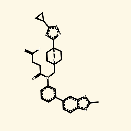 C=C(F)CCC(=O)N(CC12CCC(c3nc(C4CC4)no3)(CC1)OC2)c1cccc(-c2ccc3nc(C)sc3c2)c1